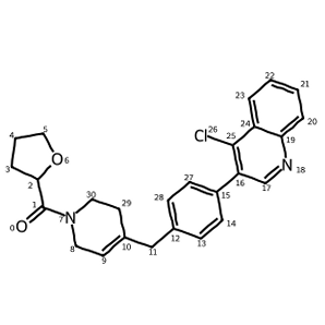 O=C(C1CCCO1)N1CC=C(Cc2ccc(-c3cnc4ccccc4c3Cl)cc2)CC1